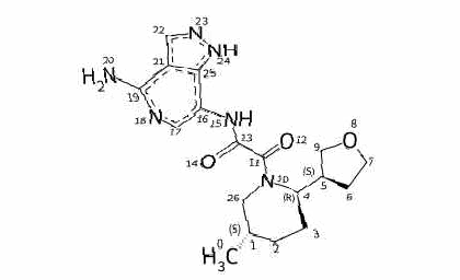 C[C@H]1CC[C@H]([C@@H]2CCOC2)N(C(=O)C(=O)Nc2cnc(N)c3cn[nH]c23)C1